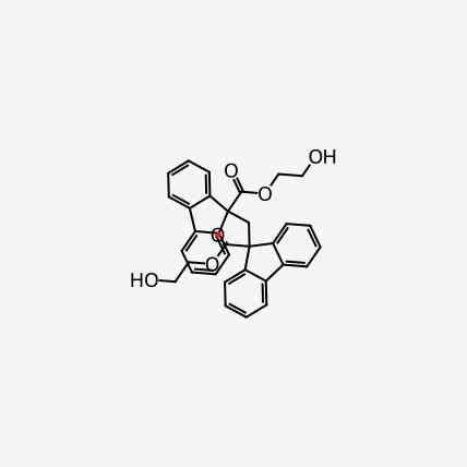 O=C(OCCO)C1(CC2(C(=O)OCCO)c3ccccc3-c3ccccc32)c2ccccc2-c2ccccc21